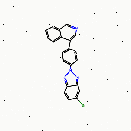 Brc1ccc2nn(-c3ccc(-c4cncc5ccccc45)cc3)nc2c1